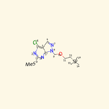 CSc1nc(Cl)c2cnn(COCC[Si](C)(C)C)c2n1